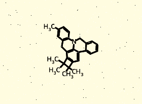 Cc1ccc2c(c1)Cc1c3c(cc4c1C(C)(C)C4(C)C)-c1ccccc1CN23